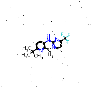 Cc1nc(C(C)(C)C)ccc1Nc1nccc(C(F)(F)F)n1